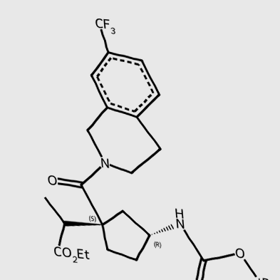 CCOC(=O)C(C)[C@]1(C(=O)N2CCc3ccc(C(F)(F)F)cc3C2)CC[C@@H](NC(=O)OC(C)(C)C)C1